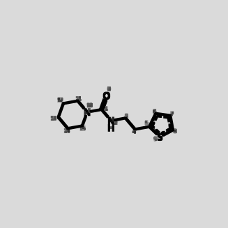 O=C(NCCc1cccs1)N1CCCCC1